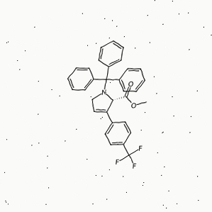 COC(=O)[C@@H]1C(c2ccc(C(F)(F)F)cc2)=CCN1C(c1ccccc1)(c1ccccc1)c1ccccc1